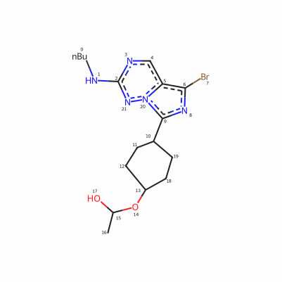 CCCCNc1ncc2c(Br)nc(C3CCC(OC(C)O)CC3)n2n1